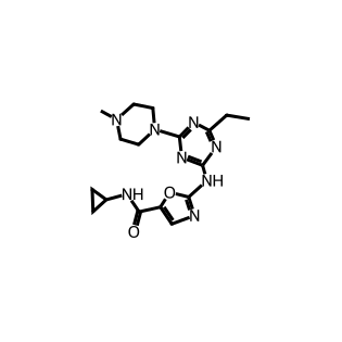 CCc1nc(Nc2ncc(C(=O)NC3CC3)o2)nc(N2CCN(C)CC2)n1